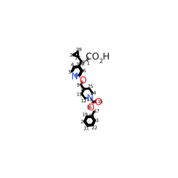 O=C(O)C[C@H](c1ccnc(OCC2CCN(C(=O)OCc3ccccc3)CC2)c1)C1CC1